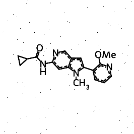 COc1ncccc1-c1cc2cnc(NC(=O)C3CC3)cc2n1C